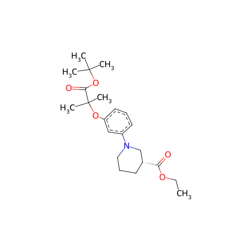 CCOC(=O)[C@@H]1CCCN(c2cccc(OC(C)(C)C(=O)OC(C)(C)C)c2)C1